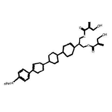 C=C(CO)C(=O)OCC(COC(=O)C(=C)CO)C1CCC(C2CCC(C3CC=C(c4ccc(CCCCC)cc4)CC3)CC2)CC1